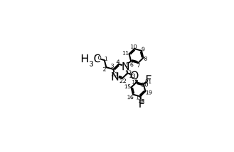 CCCC1=CN(c2ccccc2)C(Oc2ccc(F)cc2F)C=N1